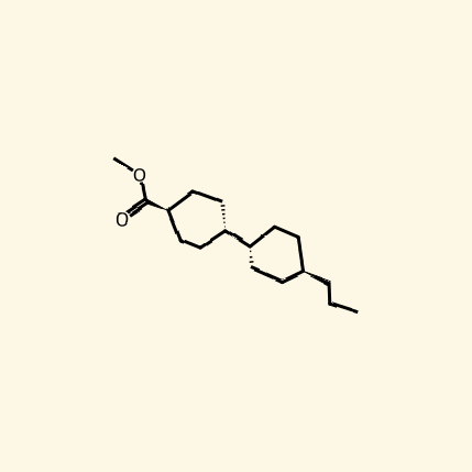 CCC[C@H]1CC[C@H]([C@H]2CC[C@H](C(=O)OC)CC2)CC1